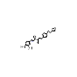 O=C(/C=C/c1ccc(O)c(O)c1)NCCc1ccc(OCC2COC2)cc1